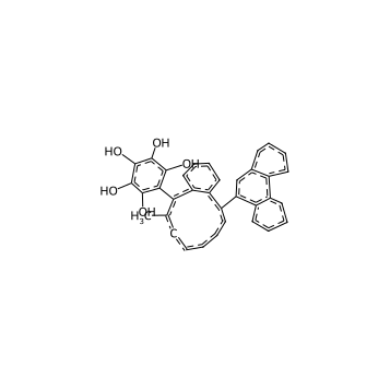 Cc1cccccc(-c2cc3ccccc3c3ccccc23)c2ccccc2c1-c1c(O)c(O)c(O)c(O)c1O